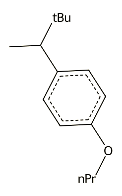 CCCOc1ccc(C(C)C(C)(C)C)cc1